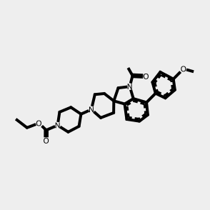 CCOC(=O)N1CCC(N2CCC3(CC2)CN(C(C)=O)c2c(-c4ccc(OC)cc4)cccc23)CC1